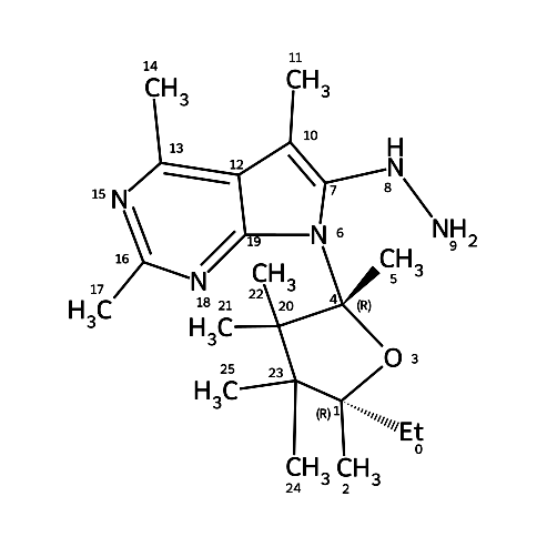 CC[C@@]1(C)O[C@@](C)(n2c(NN)c(C)c3c(C)nc(C)nc32)C(C)(C)C1(C)C